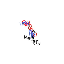 COc1cnc(C(=O)NCc2cccc(CC(=O)N(C)CCOCCOc3ccc4c(c3)C(=O)N(C3CCC(=O)NC3=O)C4=O)c2)cc1/C=C/[C@H]1CC[C@H](C(F)(F)F)CC1